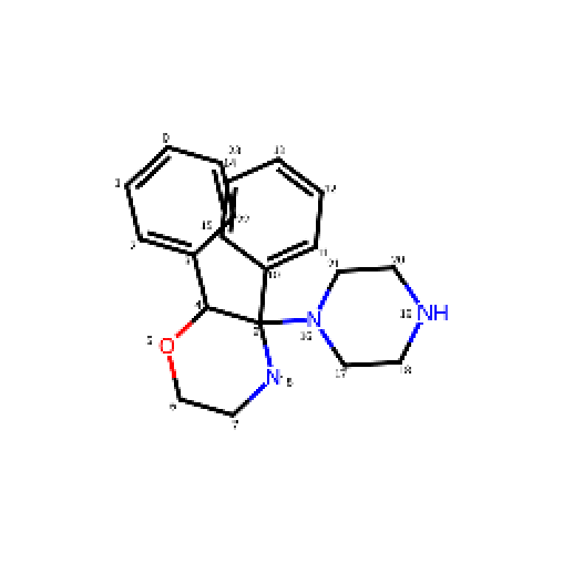 c1ccc(C2OCC[N]C2(c2ccccc2)N2CCNCC2)cc1